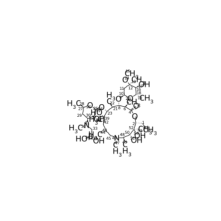 CC[C@H]1OC(=O)[C@H](C)[C@@H](O[C@H]2C[C@@](C)(OC)[C@@H](O)[C@H](C)O2)[C@H](C)[C@@H](O[C@@H]2O[C@H](C)C[C@H](N(C)CB(O)O)[C@H]2O)[C@](C)(O)C[C@@H](C)CN(C)[C@H](C)[C@@H](O)[C@]1(C)O